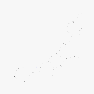 COc1ccc(/C=C/c2cc(/C=C/c3ccc(C)cc3)c(OC)cc2OC)cc1